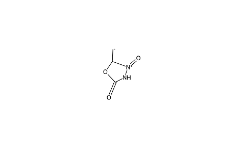 [CH2]C1OC(=O)N[N+]1=O